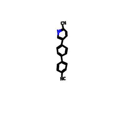 [C-]#[N+]c1ccc(-c2ccc(-c3ccc(C#N)nc3)cc2)cc1